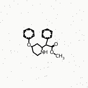 COC(=O)C(c1ccccc1)C1CC(Oc2ccccc2)CCN1